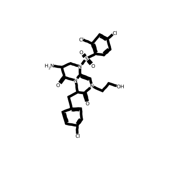 NC1CN(S(=O)(=O)c2ccc(Cl)cc2Cl)C2=CN(CCO)C(=O)C(Cc3ccc(Cl)cc3)N2C1=O